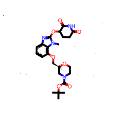 Cn1c(OC2CCC(=O)NC2=O)nc2cccc(OC[C@@H]3CN(C(=O)OC(C)(C)C)CCO3)c21